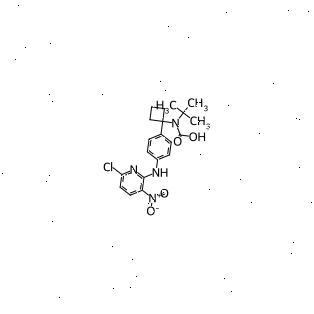 CC(C)(C)N(C(=O)O)C1(c2ccc(Nc3nc(Cl)ccc3[N+](=O)[O-])cc2)CCC1